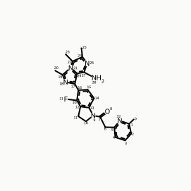 Cc1cccc(CC(=O)N2CCc3c2ccc(-c2nc(C)n4c(C)c(C)nc(N)c24)c3F)n1